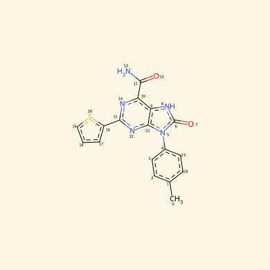 Cc1ccc(-n2c(=O)[nH]c3c(C(N)=O)nc(-c4cccs4)nc32)cc1